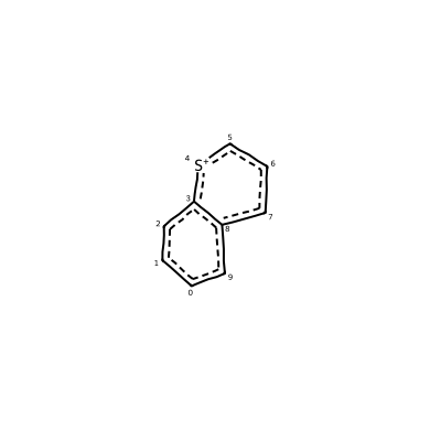 c1ccc2[s+]cccc2c1